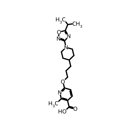 Cc1nc(OCCCC2CCN(c3noc(C(C)C)n3)CC2)ccc1C(=O)O